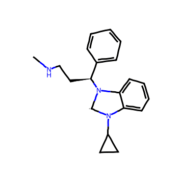 CNCC[C@@H](c1ccccc1)N1[CH]N(C2CC2)c2ccccc21